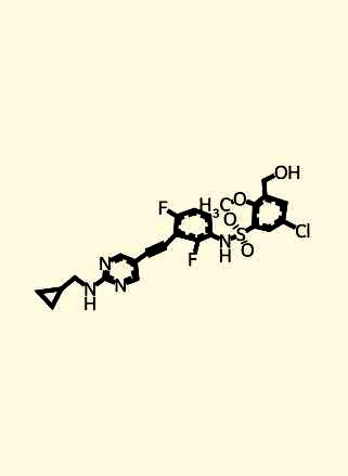 COc1c(CO)cc(Cl)cc1S(=O)(=O)Nc1ccc(F)c(C#Cc2cnc(NCC3CC3)nc2)c1F